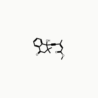 COC(=O)C=C(C)C#CC1(O)c2ccccc2C(=O)CC1(C)C